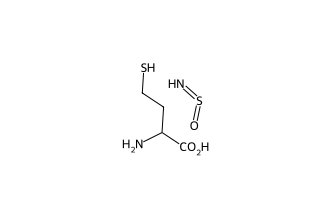 N=S=O.NC(CCS)C(=O)O